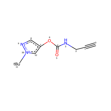 C#CCNC(=O)Oc1cnn(C(C)(C)C)c1